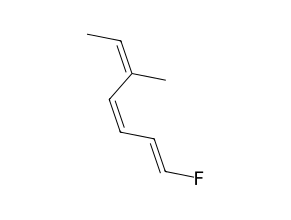 C\C=C(C)/C=C\C=C\F